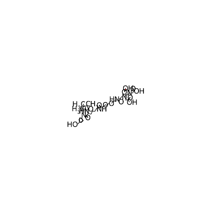 CC(C)[C@H](C)C(=O)N[C@@H](CCCCNC(=O)COCCOCCNC(=O)CN(CCN(CC(=O)O)CC(=O)O)CC(=O)O)C(=O)Nc1ccc(CO)cc1